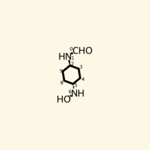 O=CN[C@H]1CC[C@H](NO)CC1